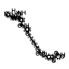 O=C1CCC(N2Cc3cc(N4CCN(C(=O)COCCCOCCCCCOc5cccc(CNC(=O)c6cccc(NC7(C8NN=C(c9ccncc9)N8)CCNCC7)c6)c5)CC4)ccc3C2=O)C(=O)N1